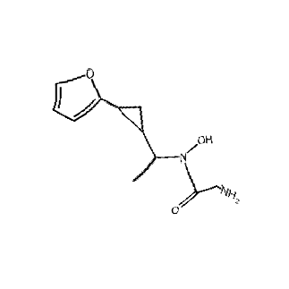 CC(C1CC1c1ccco1)N(O)C(N)=O